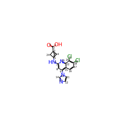 O=C(O)C12CC(Nc3cc(-n4ccnc4)c4ccc(Cl)c(Cl)c4n3)(C1)C2